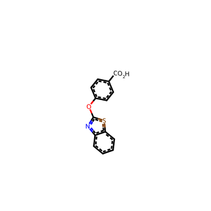 O=C(O)c1ccc(Oc2nc3ccccc3s2)cc1